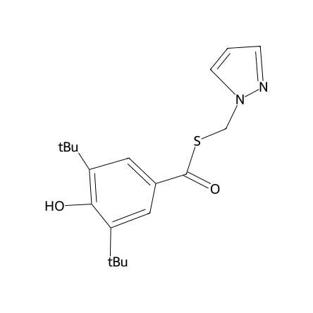 CC(C)(C)c1cc(C(=O)SCn2cccn2)cc(C(C)(C)C)c1O